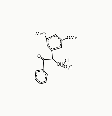 COc1cc(OC)cc(C(O)C(=O)c2ccccc2)c1.O=C(O)Cl